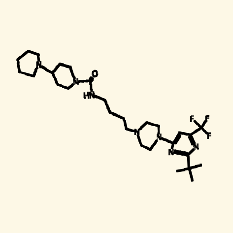 CC(C)(C)c1nc(N2CCN(CCCCNC(=O)N3CCC(N4CCCCC4)CC3)CC2)cc(C(F)(F)F)n1